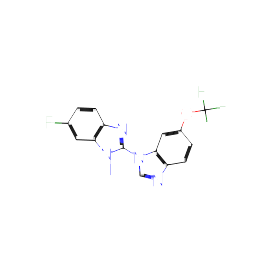 Fc1ccc2nc(-n3cnc4ccc(OC(F)(F)F)cc43)[nH]c2c1